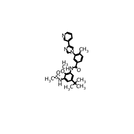 COc1c(NC(=O)c2ccc(C)c(-n3cnc(-c4cccnc4)c3)c2)cc(C(C)(C)C)cc1N[S+](C)[O-]